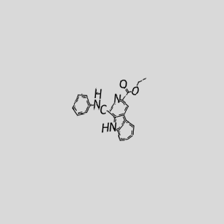 CCOC(=O)c1cc2c([nH]c3ccccc32)c(CNc2ccccc2)n1